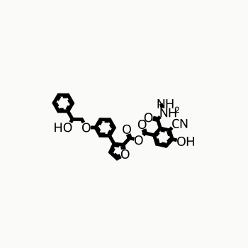 N#Cc1c(O)ccc(C(=O)OC(=O)c2occc2-c2cccc(OCC(O)c3ccccc3)c2)c1C(=O)NN